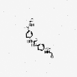 O=CNNc1ccc(NC(=S)Nc2ccc(NNC=O)cc2)cc1